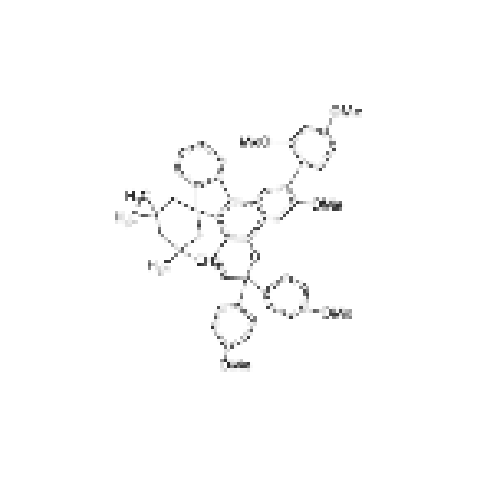 COc1ccc(C2(c3ccc(OC)cc3)C=Cc3c4c(c5cc(-c6ccc(OC)cc6OC)c(OC)cc5c3O2)-c2ccccc2C42CC(C)(C)CC(C)(C)C2)cc1